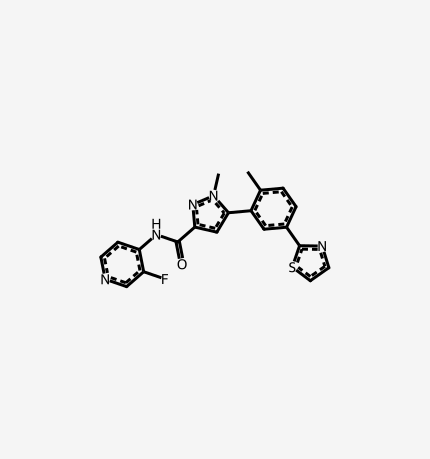 Cc1ccc(-c2nccs2)cc1-c1cc(C(=O)Nc2ccncc2F)nn1C